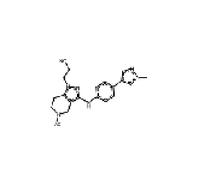 CC(=O)N1CCc2c(c(Nc3ccc(-c4cnn(C)c4)cc3)nn2CCC#N)C1